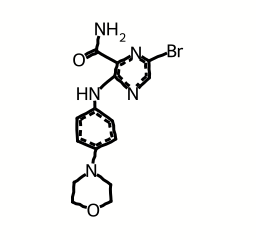 NC(=O)c1nc(Br)cnc1Nc1ccc(N2CCOCC2)cc1